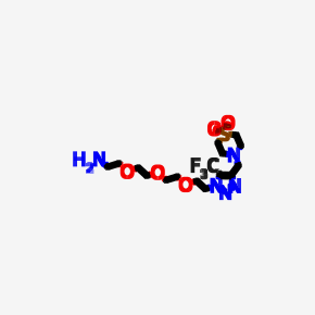 NCCOCCOCCOCCn1nnc(CN2CCS(=O)(=O)CC2)c1C(F)(F)F